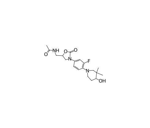 CC(=O)NCC1CN(c2ccc(N3CCC(O)C(C)(C)C3)c(F)c2)C(=O)O1